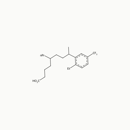 CCCC(CCCC(=O)O)CCC(C)c1cc(C(F)(F)F)ccc1CC